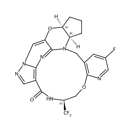 O=C1N[C@H](C(F)(F)F)COc2ncc(F)cc2CN2c3nc4c1cnn4cc3O[C@H]1CCC[C@H]12